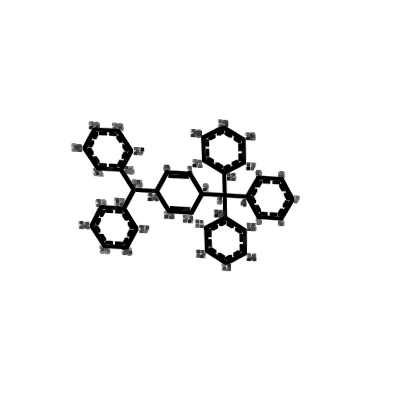 C1=CC(C(c2ccccc2)(c2ccccc2)c2ccccc2)C=CC1C(c1ccccc1)c1ccccc1